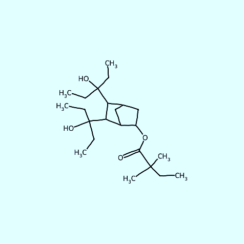 CCC(C)(C)C(=O)OC1CC2CC1C(C(O)(CC)CC)C2C(O)(CC)CC